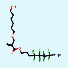 C=C(COCCCCCCO)C(=O)OCCCC(F)(F)C(F)(F)C(F)(F)C(F)(F)CCCCCCC